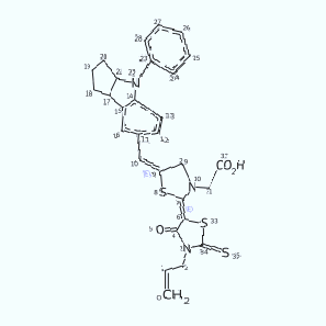 C=CCN1C(=O)/C(=C2\S/C(=C/c3ccc4c(c3)C3CCCC3N4c3ccccc3)CN2CC(=O)O)SC1=S